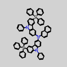 c1ccc(-n2c3ccc(N(c4ccc5ccccc5c4)c4ccc5c(c4)c4cc([Si](c6ccccc6)(c6ccccc6)c6ccccc6)ccc4n5-c4ccccc4)cc3c3cc([Si](c4ccccc4)(c4ccccc4)c4ccccc4)ccc32)cc1